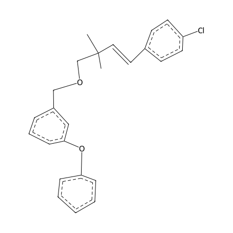 CC(C)(C=Cc1ccc(Cl)cc1)COCc1cccc(Oc2ccccc2)c1